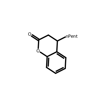 CCCCCC1CC(=O)Oc2ccccc21